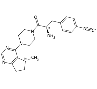 [C-]#[N+]c1ccc(C[C@@H](N)C(=O)N2CCN(c3ncnc4c3[C@H](C)CC4)CC2)cc1